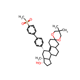 CC1(C)COC2(CCC3=C4C(CCC3C2)C2CC[C@H](O)[C@@]2(C)C[C@@H]4c2ccc(-c3ccc(S(C)(=O)=O)cc3)cc2)OC1